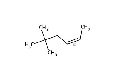 C/C=C\CC(C)(C)C